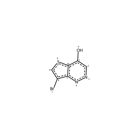 Oc1cnnc2c(Br)csc12